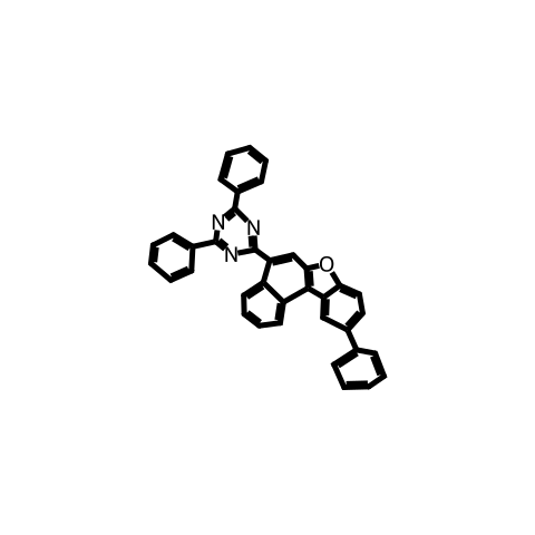 c1ccc(-c2ccc3oc4cc(-c5nc(-c6ccccc6)nc(-c6ccccc6)n5)c5ccccc5c4c3c2)cc1